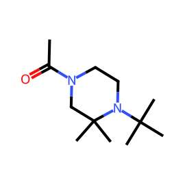 CC(=O)N1CCN(C(C)(C)C)C(C)(C)C1